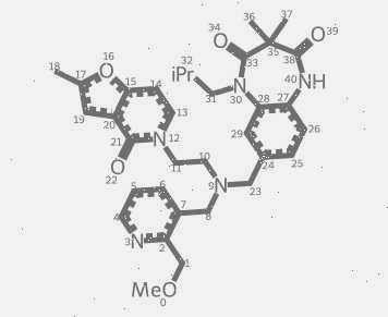 COCc1ncccc1CN(CCn1ccc2oc(C)cc2c1=O)Cc1ccc2c(c1)N(CC(C)C)C(=O)C(C)(C)C(=O)N2